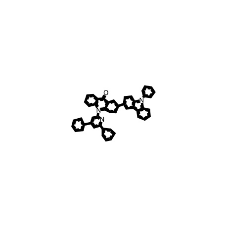 O=c1c2ccccc2n(-c2cc(-c3ccccc3)cc(-c3ccccc3)n2)c2ccc(-c3ccc4c(c3)c3ccccc3n4-c3ccccc3)cc12